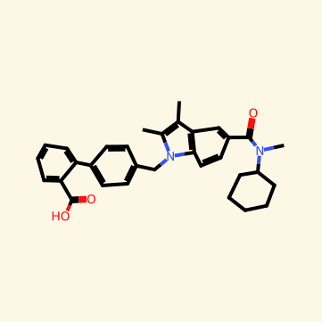 Cc1c(C)n(Cc2ccc(-c3ccccc3C(=O)O)cc2)c2ccc(C(=O)N(C)C3CCCCC3)cc12